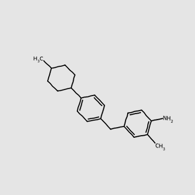 Cc1cc(Cc2ccc(C3CCC(C)CC3)cc2)ccc1N